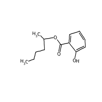 CCCCC(C)OC(=O)c1ccccc1O